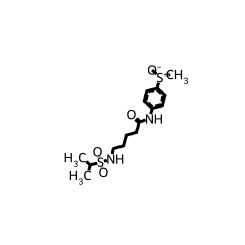 CC(C)S(=O)(=O)NCCCCC(=O)Nc1ccc([S+](C)[O-])cc1